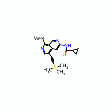 CNc1ncc(C#CS(C)(C)C)c2cc(NC(=O)C3CC3)ncc12